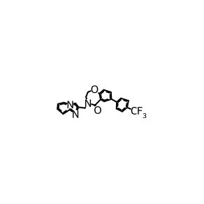 O=C1c2cc(-c3ccc(C(F)(F)F)cc3)ccc2OCCN1Cc1cn2ccccc2n1